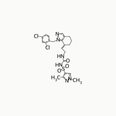 Cc1nn(C)cc1S(=O)(=O)NC(=O)NC/C=C1\CCCc2cnn(Cc3ccc(Cl)cc3Cl)c21